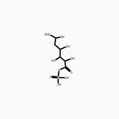 O=CC(O)CC(O)C(O)C(O)C(=O)OP(=O)(O)O